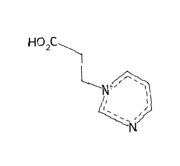 O=C(O)CC[n+]1cccnc1